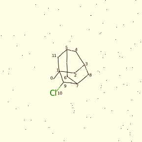 CC12CC3CC(CC(C3)C1Cl)C2